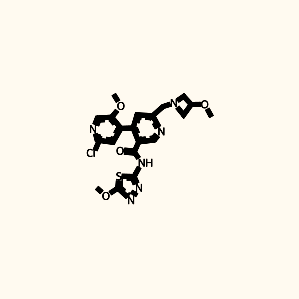 COc1nnc(NC(=O)c2cnc(CN3CC(OC)C3)cc2-c2cc(Cl)ncc2OC)s1